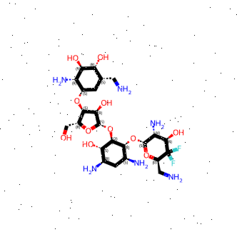 NC[C@@H]1C[C@H](O[C@H]2[C@@H](O)[C@H](O[C@@H]3[C@@H](O)[C@H](N)C[C@H](N)[C@H]3O[C@H]3O[C@H](CN)C(F)(F)[C@H](O)[C@H]3N)O[C@@H]2CO)[C@H](N)[C@@H](O)[C@@H]1O